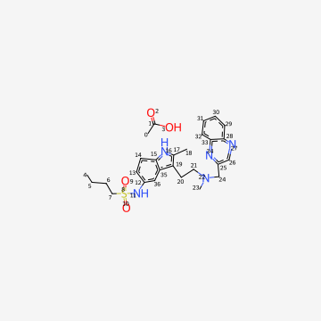 CC(=O)O.CCCCS(=O)(=O)Nc1ccc2[nH]c(C)c(CCN(C)Cc3cnc4ccccc4n3)c2c1